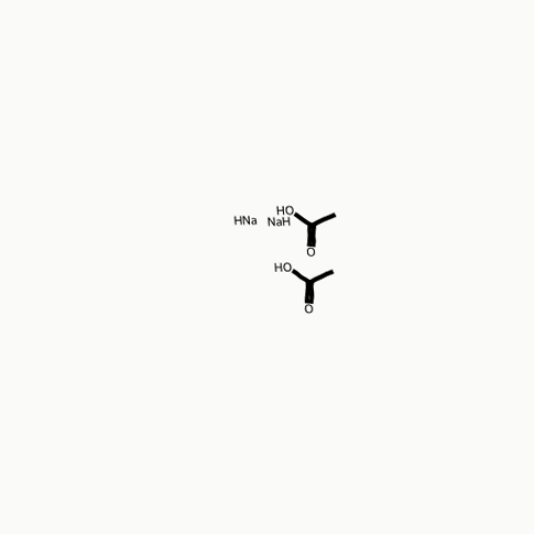 CC(=O)O.CC(=O)O.[NaH].[NaH]